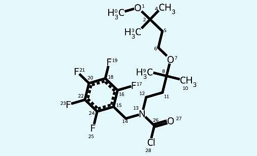 COC(C)(C)CCOC(C)(C)CCN(Cc1c(F)c(F)c(F)c(F)c1F)C(=O)Cl